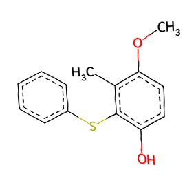 COc1ccc(O)c(Sc2ccccc2)c1C